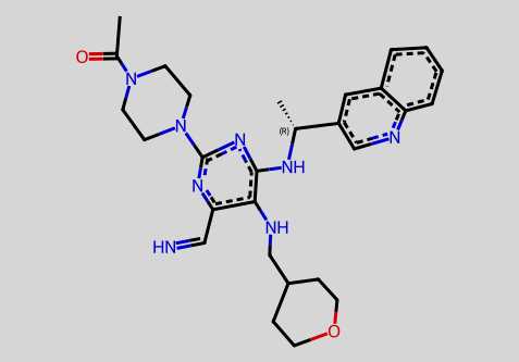 CC(=O)N1CCN(c2nc(C=N)c(NCC3CCOCC3)c(N[C@H](C)c3cnc4ccccc4c3)n2)CC1